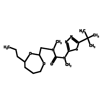 CCCC1CCCOC(CN(C)C(=O)N(C)c2nnc(C(C)(C)C)s2)O1